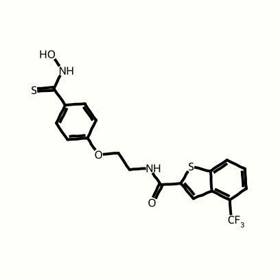 O=C(NCCOc1ccc(C(=S)NO)cc1)c1cc2c(C(F)(F)F)cccc2s1